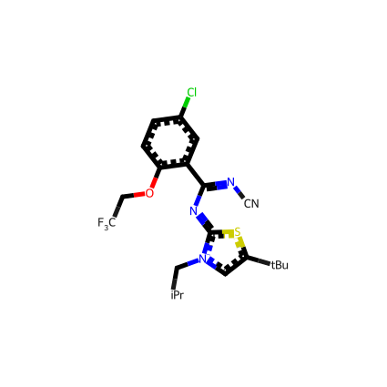 CC(C)Cn1cc(C(C)(C)C)sc1=NC(=NC#N)c1cc(Cl)ccc1OCC(F)(F)F